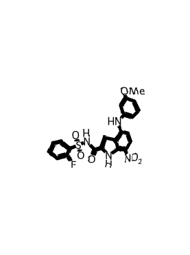 COc1cccc(Nc2ccc([N+](=O)[O-])c3[nH]c(C(=O)NS(=O)(=O)c4ccccc4F)cc23)c1